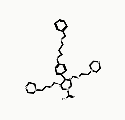 O=C(O)N1C[C@@H](COCCN2CCOCC2)C(c2ccc(OCCCOCc3ccccc3)cc2)[C@@H](COCCN2CCOCC2)C1